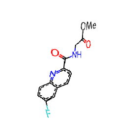 COC(=O)CNC(=O)c1ccc2cc(F)ccc2n1